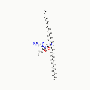 CCCCCCCCCCCCCCCCCCN(CCCCCCCCCCCCCCCCCC)CC(=O)N(NCCCN)C(=O)CCCC